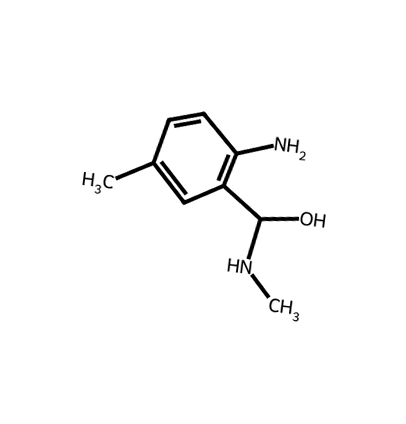 CNC(O)c1cc(C)ccc1N